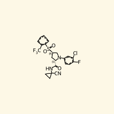 N#CC1(NC(=O)[C@@H]2C[C@@H](S(=O)(=O)c3ccccc3C(F)(F)F)CN2c2ccc(F)c(Cl)c2)CC1